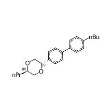 CCCCc1ccc(-c2ccc([C@H]3CO[C@H](CCC)CO3)cc2)cc1